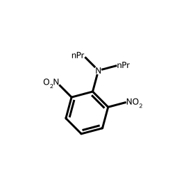 CCCN(CCC)c1c([N+](=O)[O-])cccc1[N+](=O)[O-]